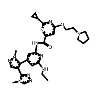 CCNc1cc(-c2c(-c3nncn3C)cnn2C)cc(NC(=O)c2cc(OCCN3CCCC3)nc(C3CC3)n2)n1